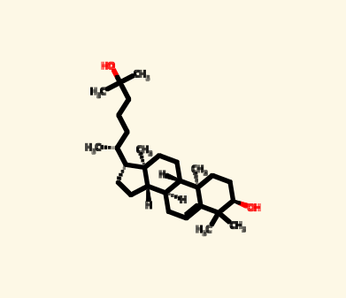 C[C@H](CCCC(C)(C)O)[C@H]1CC[C@H]2[C@@H]3CC=C4C(C)(C)[C@H](O)CC[C@]4(C)[C@H]3CC[C@]12C